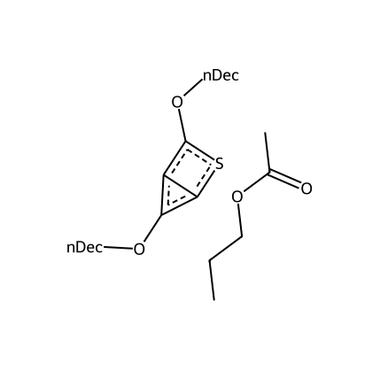 CCCCCCCCCCOc1sc2c(OCCCCCCCCCC)c1-2.CCCOC(C)=O